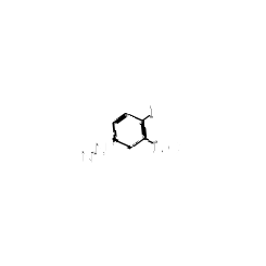 [N-]=[N+]=C1C=CC(F)=C([N+](=O)[O-])C1